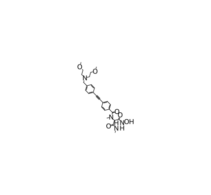 CNC(=O)C(C(=O)NO)N(C)C(=O)c1ccc(C#Cc2ccc(CN(CCOC)CCOC)cc2)cc1